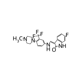 CN1CCN(c2ccc(NC=C3C(=O)Nc4cc(F)ccc43)cc2C(F)(F)F)CC1